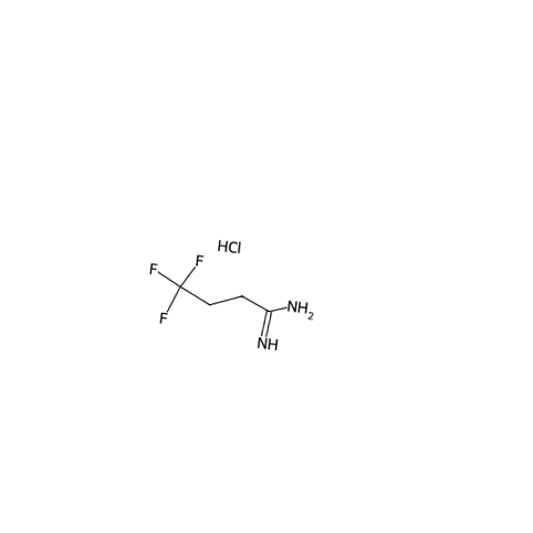 Cl.N=C(N)CCC(F)(F)F